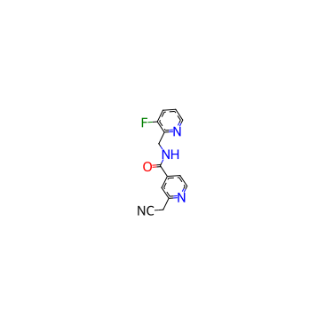 N#CCc1cc(C(=O)NCc2ncccc2F)ccn1